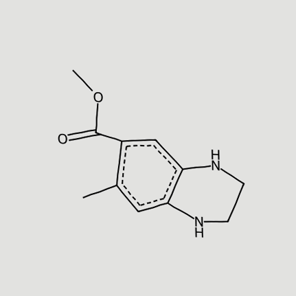 COC(=O)c1cc2c(cc1C)NCCN2